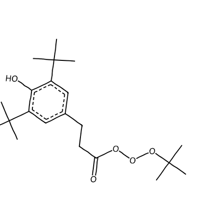 CC(C)(C)OOOC(=O)CCc1cc(C(C)(C)C)c(O)c(C(C)(C)C)c1